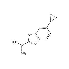 C=C(C)c1cc2ccc(C3CC3)cc2s1